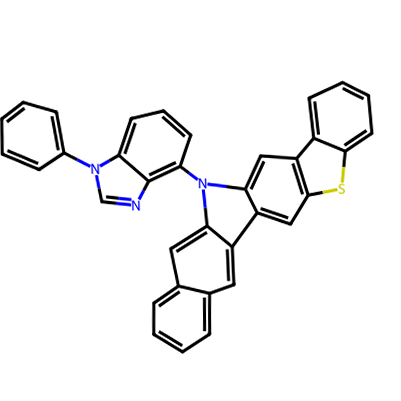 c1ccc(-n2cnc3c(-n4c5cc6ccccc6cc5c5cc6sc7ccccc7c6cc54)cccc32)cc1